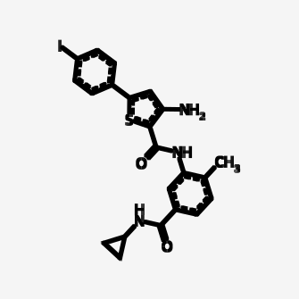 Cc1ccc(C(=O)NC2CC2)cc1NC(=O)c1sc(-c2ccc(I)cc2)cc1N